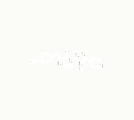 N[C@@H](Cc1ccc(Cl)cc1)C(=O)Nc1nnc(-c2ccncc2)[nH]1